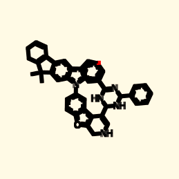 CC1(C)C2=C(C=CCC2)c2cc3c4ccccc4n(-c4ccc5oc6c(c5c4)C(C4NC(c5ccccc5)=NC(c5ccccc5)N4)=CNC6)c3cc21